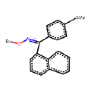 CCO/N=C(/c1ccc(SC)cc1)c1cccc2ccccc12